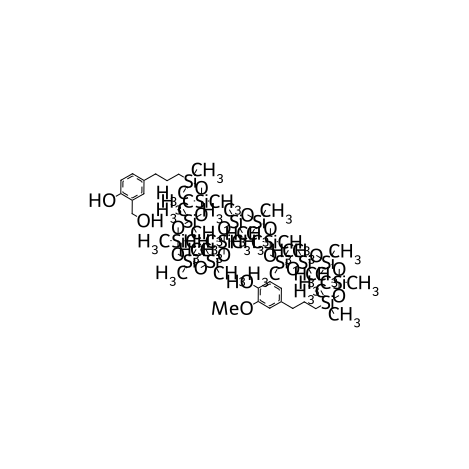 COc1cc(CCC[Si](C)(C)O[Si](C)(C)O[Si](C)(C)O[Si](C)(C)O[Si](C)(C)O[Si](C)(C)O[Si](C)(C)O[Si](C)(C)O[Si](C)(C)O[Si](C)(C)O[Si](C)(C)O[Si](C)(C)O[Si](C)(C)O[Si](C)(C)O[Si](C)(C)CCCc2ccc(O)c(CO)c2)ccc1O